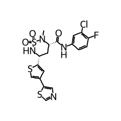 CN1[C@H](C(=O)Nc2ccc(F)c(Cl)c2)C[C@H](c2cc(-c3cncs3)cs2)NS1(=O)=O